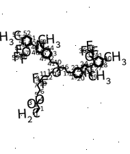 C=CC(=O)OCCCC(F)(F)CCCOC(CCc1ccc2c(c1)cc(-c1ccc(C)cc1OC(F)(F)F)n2C)CCc1ccc2c(c1)cc(-c1ccc(C)cc1OC(F)(F)F)n2C